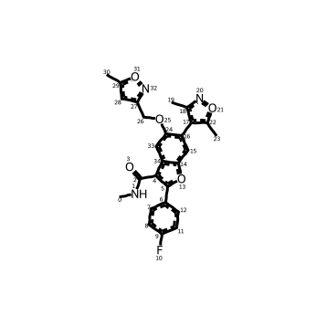 CNC(=O)c1c(-c2ccc(F)cc2)oc2cc(-c3c(C)noc3C)c(OCc3cc(C)on3)cc12